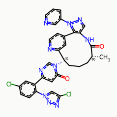 C[C@@H]1CCC[C@H](n2cnc(-c3cc(Cl)ccc3-n3cc(Cl)nn3)cc2=O)c2cc(ccn2)-c2c(cnn2-c2cccnc2)NC1=O